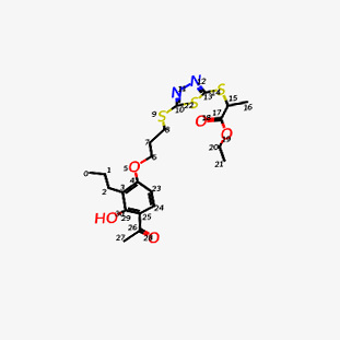 CCCc1c(OCCCSc2nnc(SC(C)C(=O)OCC)s2)ccc(C(C)=O)c1O